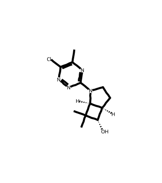 Cc1nc(N2CC[C@@H]3[C@H]2C(C)(C)[C@H]3O)nnc1Cl